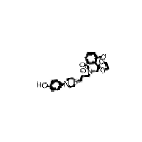 O=S1(=O)c2cccc(Cl)c2C2(CN1CCCN1CCN(c3ccc(O)cc3)CC1)OCCO2